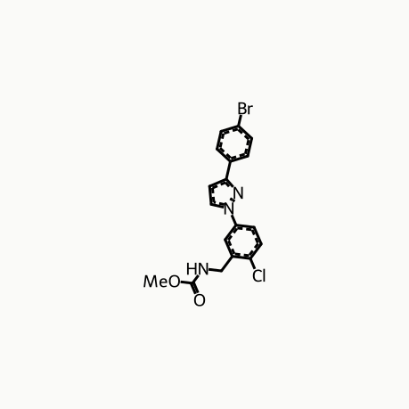 COC(=O)NCc1cc(-n2ccc(-c3ccc(Br)cc3)n2)ccc1Cl